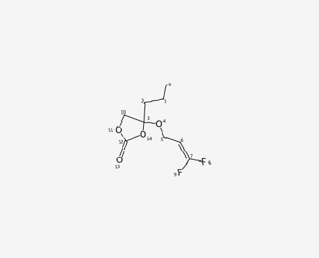 CCCC1(OCC=C(F)F)COC(=O)O1